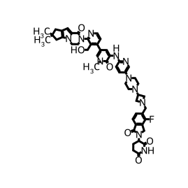 Cn1cc(-c2ccnc(N3CCn4c(cc5c4CC(C)(C)C5)C3=O)c2CO)cc(Nc2ccc(N3CCN(C4CN(Cc5ccc6c(c5F)CN(C5CCC(=O)NC5=O)C6=O)C4)CC3)cn2)c1=O